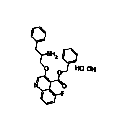 Cl.Cl.NC(COc1cnc2cccc(F)c2c1C(=O)OCc1ccccc1)Cc1ccccc1